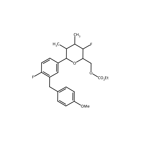 CCOC(=O)OCC1OC(c2ccc(F)c(Cc3ccc(OC)cc3)c2)C(C)C(C)C1F